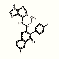 CC[C@@H](Nc1ncnc2[nH]cnc12)c1cc2ccc(F)cc2c(=O)n1-c1ccc(F)cc1